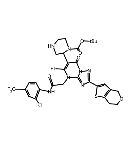 CCc1c(C2CNCCN2C(=O)OC(C)(C)C)c(=O)n2nc(-c3cc4c(s3)CCOC4)nc2n1CC(=O)Nc1ccc(C(F)(F)F)cc1Cl